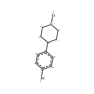 CCN1CCC(c2ccc(C(C)C)cc2)CC1